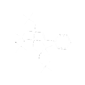 C[Si](C)(C)O[SiH2]O[Si](O[Si](C)(C)C)(O[Si](C)(C)C)[Si](C=Cc1ccccc1)(O[Si](C)(C)C)O[Si](C)(C)C